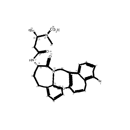 COc1ccc2c(Br)cccc2c1CN1C(=O)[C@@H](NC(=O)C[C@H](N(C)C(=O)O)C(C)(C)C)CCc2ccccc21